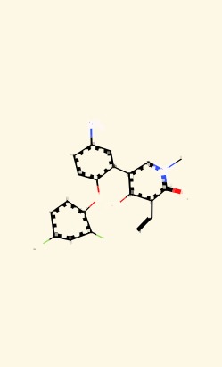 C=Cc1c(O)c(-c2cc(N)ccc2Oc2ccc(F)cc2F)cn(C)c1=O